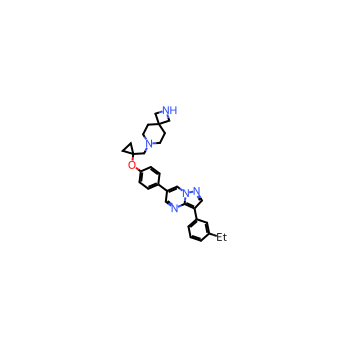 CCc1cccc(-c2cnn3cc(-c4ccc(OC5(CN6CCC7(CC6)CNC7)CC5)cc4)cnc23)c1